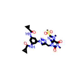 Cn1c(=O)c2c(nc(S(C)(=O)=O)n2C)n(Cc2cn(-c3cc(NC(=O)C4CC4)cc(NC(=O)C4CC4)c3)nn2)c1=O